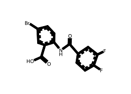 O=C(Nc1ccc(Br)cc1C(=O)O)c1ccc(F)c(F)c1